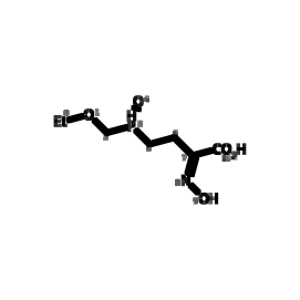 CCOC[PH](=O)CCC(=NO)C(=O)O